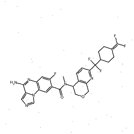 CN(C(=O)c1cc2c(cc1F)nc(N)c1cncn12)C1COCc2nc(C(F)(F)C3CCC(=C(F)F)CC3)ccc21